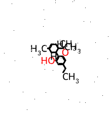 CCCc1cc(O)c2c(c1)OC(C)(C)[C@@H]1CC=C(C)C[C@@H]21